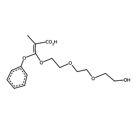 CC(C(=O)O)=C(OCCOCCOCCO)Oc1ccccc1